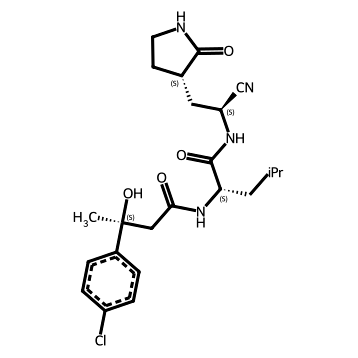 CC(C)C[C@H](NC(=O)C[C@](C)(O)c1ccc(Cl)cc1)C(=O)N[C@H](C#N)C[C@@H]1CCNC1=O